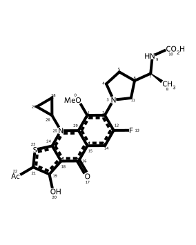 COc1c(N2CCC([C@H](C)NC(=O)O)C2)c(F)cc2c(=O)c3c(O)c(C(C)=O)sc3n(C3CC3)c12